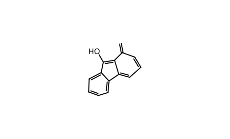 C=c1cccc2c1=C(O)c1ccccc1-2